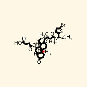 CC[C@@H](NC(=O)C[C@@H](C)[C@H]1CC[C@H]2[C@@H]3[C@H](OC(=O)CCC(=O)O)C[C@@H]4CC(=O)CC[C@]4(C)[C@H]3CC[C@]12C)c1ccc(Br)s1